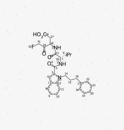 CC(C)[C@H](NC(=O)c1cc2ccccc2n1CCCc1ccccc1)C(=O)NC(CC(=O)O)C(=O)CF